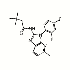 Cc1ccc2nc(NC(=O)CC(C)(C)C)n(-c3ccc(F)cc3F)c2n1